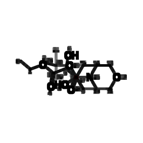 CCOC(=O)C(O)C1(O)CC2COCC(C1)N2C(=O)OC(C)(C)C